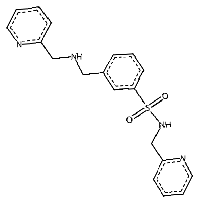 O=S(=O)(NCc1ccccn1)c1cccc(CNCc2ccccn2)c1